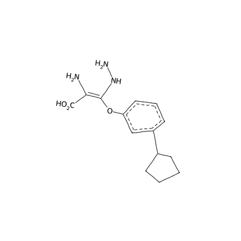 NN/C(Oc1cccc(C2CCCC2)c1)=C(\N)C(=O)O